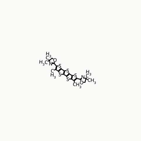 Cc1c(C2=NC(C)(C)CO2)sc2c1sc1c2sc2c3sc(C4=NC(C)(C)CO4)c(C)c3sc21